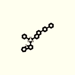 c1ccc(-c2ccc(-c3ccc4cc(-c5nc(-c6ccccc6)nc(-c6cccc7c6sc6ccccc67)n5)ccc4c3)cc2)cc1